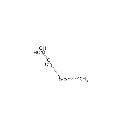 CCCCCC/C=C/C=C\CCCCCCCC(=O)OCCCON(O)O